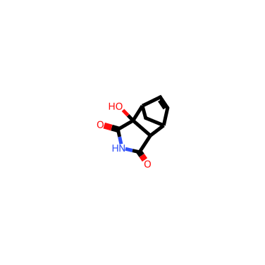 O=C1NC(=O)C2(O)C3C=CC(C3)C12